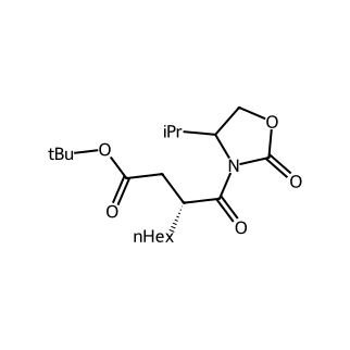 CCCCCC[C@H](CC(=O)OC(C)(C)C)C(=O)N1C(=O)OCC1C(C)C